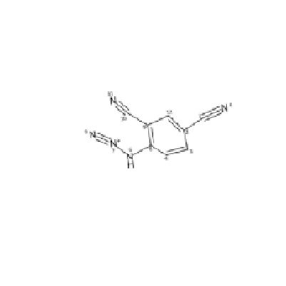 N#Cc1ccc(N[N+]#N)c(C#N)c1